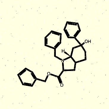 O=C(OCc1ccccc1)C1CC2CCC(O)(c3ccccc3)C[C@H]2N1Cc1ccccc1